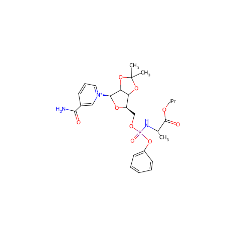 CC(C)OC(=O)[C@H](C)NP(=O)(OC[C@H]1O[C@@H]([n+]2cccc(C(N)=O)c2)C2OC(C)(C)OC21)Oc1ccccc1